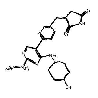 CCCCNc1ncc(-c2ccc(CC3CC(=O)NC3=O)cn2)c(N[C@H]2CC[C@H](O)CC2)n1